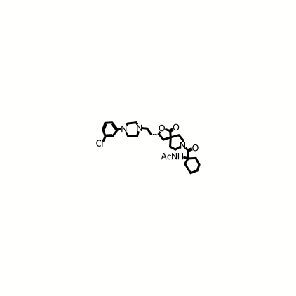 CC(=O)NC1(C(=O)N2CCC3(CC2)C[C@H](CCN2CCN(c4cccc(Cl)c4)CC2)OC3=O)CCCCC1